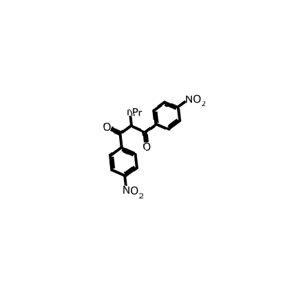 CCCC(C(=O)c1ccc([N+](=O)[O-])cc1)C(=O)c1ccc([N+](=O)[O-])cc1